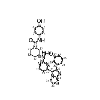 O=C(Nc1ccc(O)cc1)N1CCC[C@@H](Nc2nccc(-c3c(-c4cccc(O)c4)nc4sccn34)n2)C1